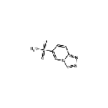 NS(=O)(=O)c1ccc2nncn2c1